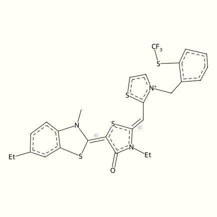 CCc1ccc2c(c1)S/C(=c1/s/c(=C\c3scc[n+]3Cc3ccccc3SC(F)(F)F)n(CC)c1=O)N2C